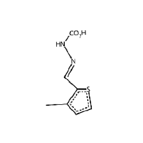 Cc1ccsc1/C=N/NC(=O)O